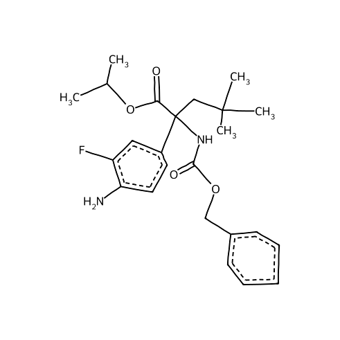 CC(C)OC(=O)C(CC(C)(C)C)(NC(=O)OCc1ccccc1)c1ccc(N)c(F)c1